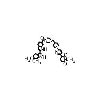 CN1C(=O)CCC(c2ccc(N3CCC(CN4CCN(C(=O)c5ccc6cc(-c7n[nH]c8c7CCC(C)(C)C8)[nH]c6c5)CC4)CC3)nc2)C1=O